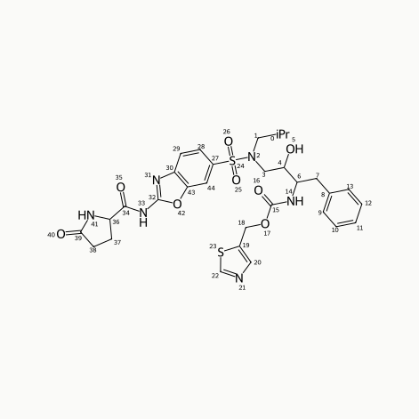 CC(C)CN(CC(O)C(Cc1ccccc1)NC(=O)OCc1cncs1)S(=O)(=O)c1ccc2nc(NC(=O)C3CCC(=O)N3)oc2c1